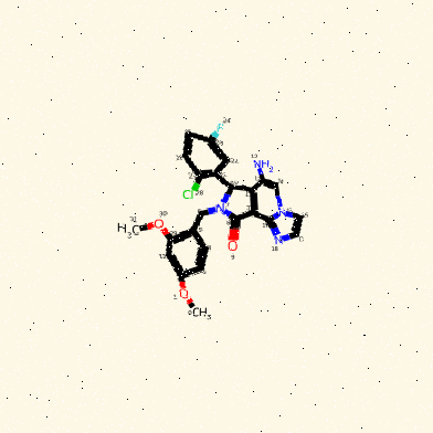 COc1ccc(CN2C(=O)c3c(c(N)cn4ccnc34)C2c2cc(F)ccc2Cl)c(OC)c1